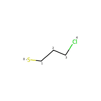 [S]CCCCl